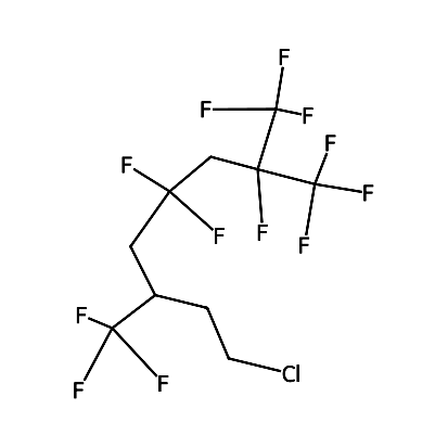 FC(F)(CC(CCCl)C(F)(F)F)CC(F)(C(F)(F)F)C(F)(F)F